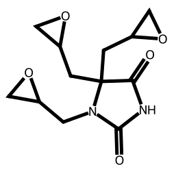 O=C1NC(=O)C(CC2CO2)(CC2CO2)N1CC1CO1